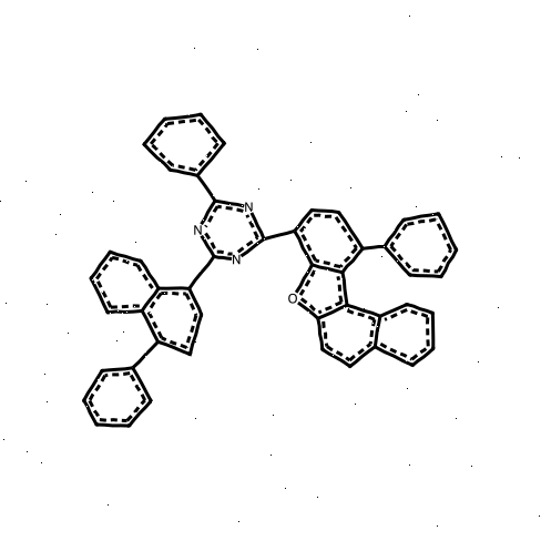 c1ccc(-c2nc(-c3ccc(-c4ccccc4)c4ccccc34)nc(-c3ccc(-c4ccccc4)c4c3oc3ccc5ccccc5c34)n2)cc1